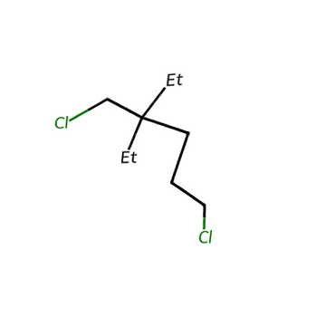 CCC(CC)(CCl)CCCCl